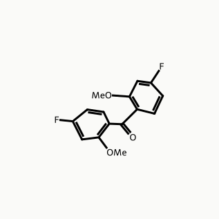 COc1cc(F)ccc1C(=O)c1ccc(F)cc1OC